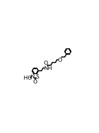 O=C(CCCCOCCc1ccccc1)NCCc1cccc2c1sc(=O)n2O